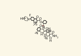 CC1Sc2c(C(=O)Oc3ccccc3C(=O)Oc3ccc(N(C)C)c4c3C(=O)C3=C(O)[C@@]5(O)C(=O)C(C(N)=O)=C(O)[C@H](N(C)C)[C@H]5C[C@H]3C4)c(=O)c3cc(F)c(N4CCNCC4)cc3n21